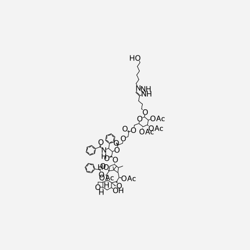 CC(=O)OC1C(OC(C)=O)[C@H](OC(C)=O)C(COC(=O)COCC(=O)O[C@@H](C(=O)O[C@H]2C[C@@]3(O)[C@@H](OC(=O)c4ccccc4)[C@@H]4[C@]5(OC(C)=O)CO[C@@H]5C[C@H](O)[C@@]4(C)C(=O)[C@H](OC(C)=O)C(C2C)C3(C)C)C(NC(=O)c2ccccc2)c2ccccc2)O[C@H]1OCCCC1=CN(CCCCCCO)NN1